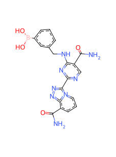 NC(=O)c1cnc(-c2nnc3c(C(N)=O)cccn23)nc1NCc1cccc(B(O)O)c1